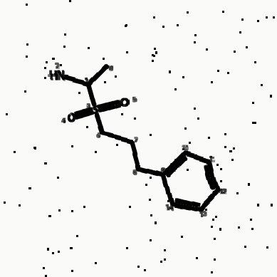 CC([NH])S(=O)(=O)CCCc1ccccc1